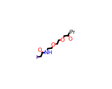 CC(C)C(=O)COCCOCCNC(=O)CI